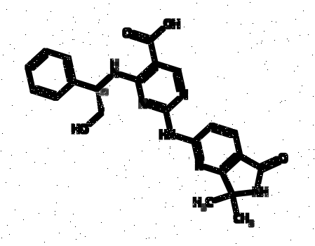 CC1(C)NC(=O)c2ccc(Nc3ncc(C(=O)O)c(N[C@H](CO)c4ccccc4)n3)nc21